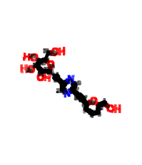 OCC1CCCC(C#Cc2cnc(C#C[C@H]3O[C@H](CO)[C@@H](O)[C@H](O)[C@@H]3O)cn2)O1